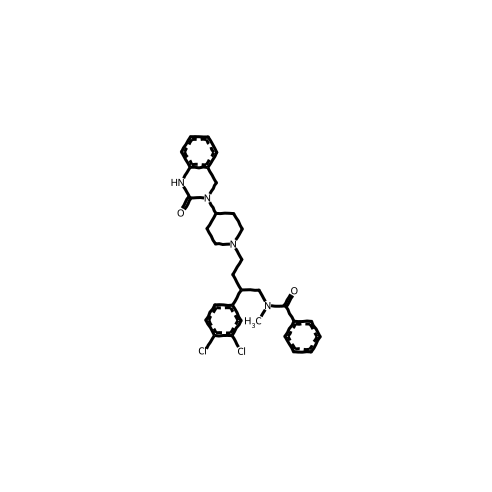 CN(CC(CCN1CCC(N2Cc3ccccc3NC2=O)CC1)c1ccc(Cl)c(Cl)c1)C(=O)c1ccccc1